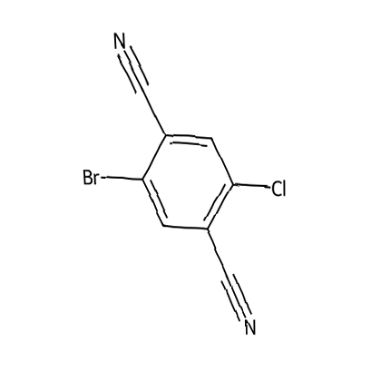 N#Cc1cc(Br)c(C#N)cc1Cl